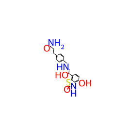 NC(=O)CCc1ccc(CNC[C@H](O)c2ccc(O)c3[nH]c(=O)sc23)cc1